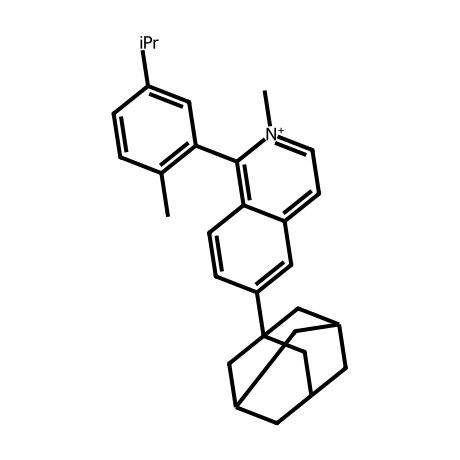 Cc1ccc(C(C)C)cc1-c1c2ccc(C34CC5CC(CC(C5)C3)C4)cc2cc[n+]1C